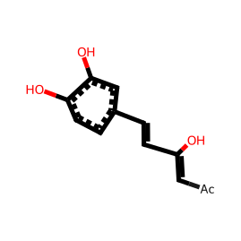 CC(=O)C=C(O)C=Cc1ccc(O)c(O)c1